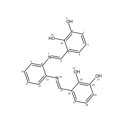 Oc1cccc(C=Nc2ccccc2N=Cc2cccc(O)c2O)c1O